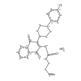 CNCCOC(=O)OC1=C(C2CCC(c3ccc(Cl)cc3)CC2)C(=O)c2ccccc2C1=O.Cl